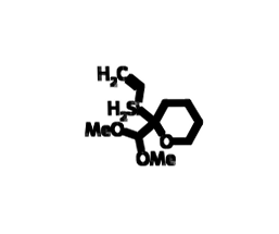 C=C[SiH2]C1(C(OC)OC)CCCCO1